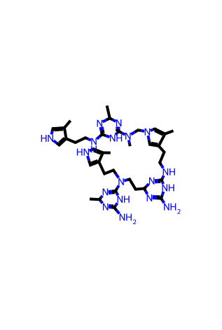 Cc1cn(CN(C)C2=NC(C)N=C(NCCc3c[nH]cc3C)N2)cc1CCNC1=NC(CCN(CCc2c[nH]cc2C)C2=NC(C)N=C(N)N2)N=C(N)N1